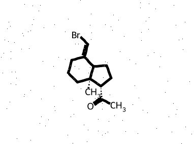 CC(=O)[C@H]1CCC2/C(=C/Br)CCC[C@@]21C